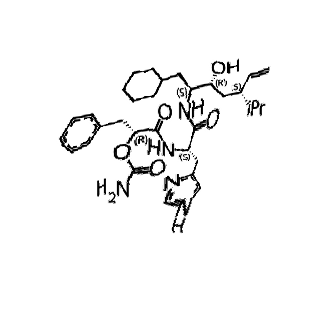 C=C[C@@H](C[C@@H](O)[C@H](CC1CCCCC1)NC(=O)[C@H](Cc1c[nH]cn1)NC(=O)[C@@H](Cc1ccccc1)OC(N)=O)C(C)C